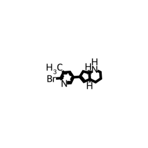 Cc1cc(C2=C[C@@H]3CCCN[C@@H]3C2)cnc1Br